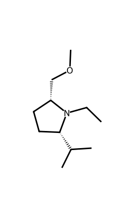 CCN1[C@@H](COC)CC[C@H]1C(C)C